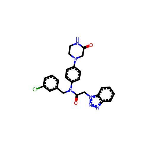 O=C1CN(c2ccc(N(Cc3cccc(Cl)c3)C(=O)Cn3nnc4ccccc43)cc2)CCN1